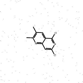 Cc1cc2c(Cl)nc(Cl)cc2nc1C